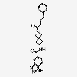 O=C(NC1CC2(C1)CN(C(=O)CCCc1ccccc1)C2)c1ccc2[nH]nnc2c1